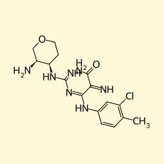 Cc1ccc(N/C(=N/C(=N)N[C@@H]2CCOC[C@@H]2N)C(=N)C(N)=O)cc1Cl